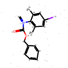 C=[N+](C(=O)OCc1ccccc1)c1c(C(C)C)cc(I)cc1C(C)C